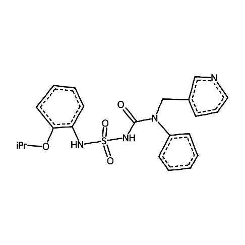 CC(C)Oc1ccccc1NS(=O)(=O)NC(=O)N(Cc1cccnc1)c1ccccc1